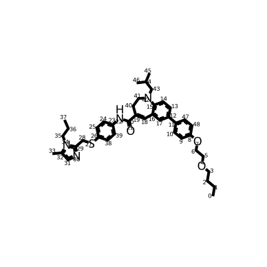 CCCCOCCOc1ccc(-c2ccc3c(c2)C=C(C(=O)Nc2ccc(SCc4ncc(C)n4CCC)cc2)CCN3CC(C)C)cc1